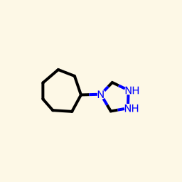 C1CCCC(N2CNNC2)CC1